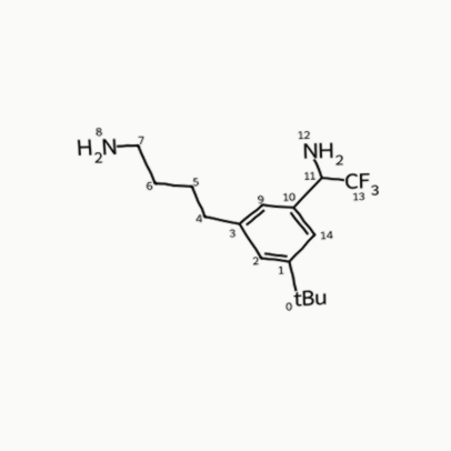 CC(C)(C)c1cc(CCCCN)cc(C(N)C(F)(F)F)c1